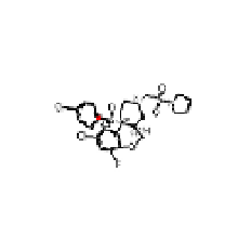 O=S(=O)(C[C@H]1CC[C@]2(S(=O)(=O)c3ccc(Cl)cc3)c3c(F)c(Cl)cc(F)c3OC[C@@H]2C1)N1CCCC1